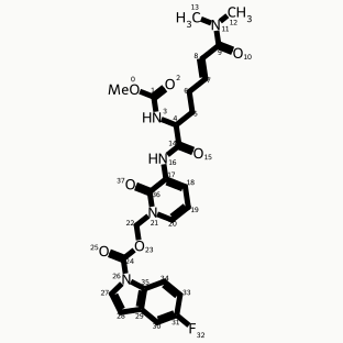 COC(=O)NC(CCC=CC(=O)N(C)C)C(=O)Nc1cccn(COC(=O)n2ccc3cc(F)ccc32)c1=O